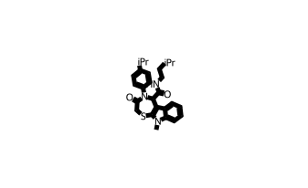 CC(C)CCNC(=O)C1c2c(n(C)c3ccccc23)SCC(=O)N1c1ccc(C(C)C)cc1